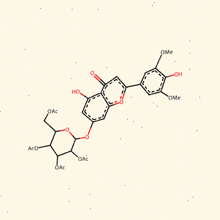 COc1cc(-c2cc(=O)c3c(O)cc(OC4OC(COC(C)=O)C(OC(C)=O)C(OC(C)=O)C4OC(C)=O)cc3o2)cc(OC)c1O